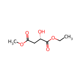 CCOC(=O)[C@@H](O)CC(=O)OC